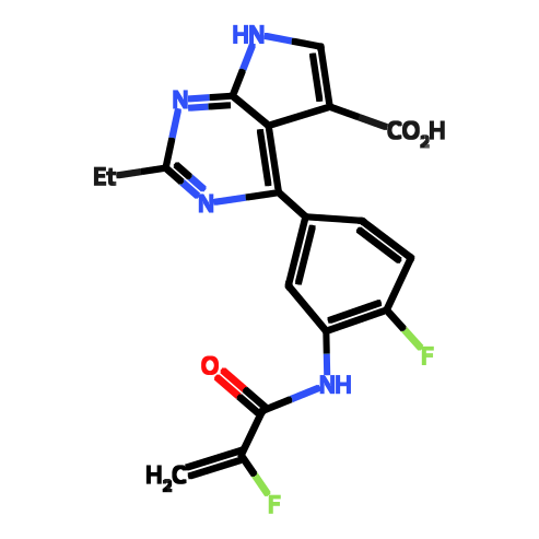 C=C(F)C(=O)Nc1cc(-c2nc(CC)nc3[nH]cc(C(=O)O)c23)ccc1F